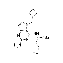 CCCC[C@@H](CCO)Nc1nc(N)nc2ccn(CC3CCC3)c12